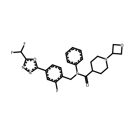 O=C(C1CCN(C2COC2)CC1)N(Cc1ccc(-c2nnc(C(F)F)o2)cc1F)c1ccccc1